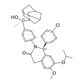 COc1cc2c(cc1OC(C)C)[C@H](c1ccc(Cl)cc1)N(c1ccc([C@@](C)(O)C34CC5CC(CC(C5)C3)C4)cc1)C(=O)C2